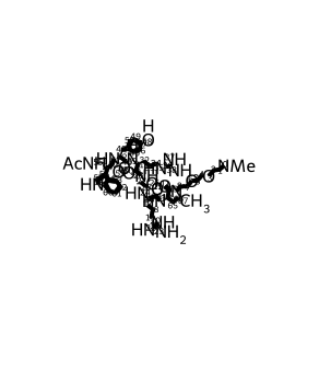 CNCCOCCOCCN1C(=O)[C@@H](NC(=O)[C@H](CCCNC(=N)N)NC(=O)CNC(=O)[C@H](CCCNC(=N)N)NC(=O)[C@H](Cc2ccc(O)cc2)NC(=O)C(NC(C)=O)c2c[nH]c3ccccc23)CC1C